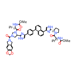 COC(=O)N[C@H](C(=O)N1CN(C(=O)N2Cc3cc4c(cc3C2)OCO4)CC1c1nc(-c2ccc(-c3cccc4c(-c5c[nH]c([C@@H]6CCCN6C(=O)[C@@H](NC(=O)OC)C(C)C)n5)cccc34)cc2)c[nH]1)C(C)C